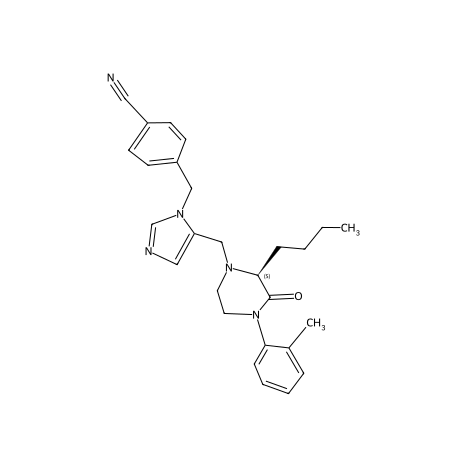 CCCC[C@H]1C(=O)N(c2ccccc2C)CCN1Cc1cncn1Cc1ccc(C#N)cc1